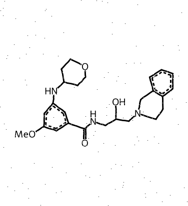 COc1cc(NC2CCOCC2)cc(C(=O)NCC(O)CN2CCc3ccccc3C2)c1